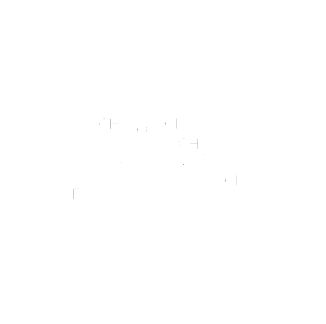 C=C(CC)c1ccc(F)c(CC)c1OC